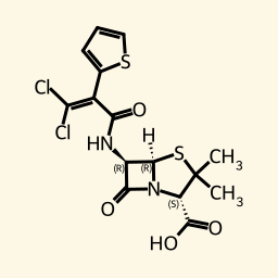 CC1(C)S[C@@H]2[C@H](NC(=O)C(=C(Cl)Cl)c3cccs3)C(=O)N2[C@H]1C(=O)O